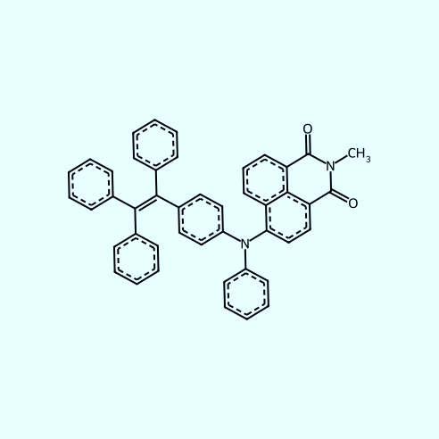 CN1C(=O)c2cccc3c(N(c4ccccc4)c4ccc(C(=C(c5ccccc5)c5ccccc5)c5ccccc5)cc4)ccc(c23)C1=O